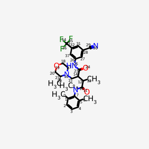 Cc1cccc(C)c1N(C)C(=O)C(C)C(CN1CCOC[C@@H]1C)C(=O)Nc1cc(C#N)cc(C(F)(F)F)c1